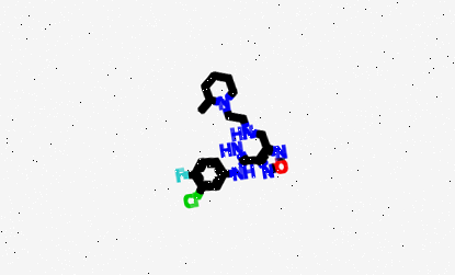 CC1CCCCN1CCNCc1nonc1C(=N)Nc1ccc(F)c(Cl)c1